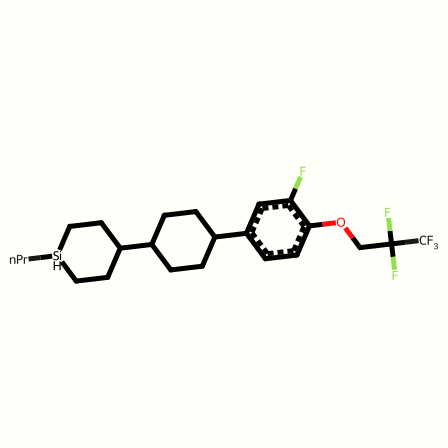 CCC[SiH]1CCC(C2CCC(c3ccc(OCC(F)(F)C(F)(F)F)c(F)c3)CC2)CC1